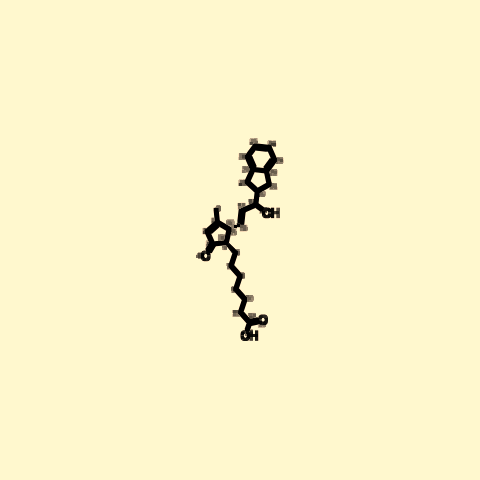 CC1=CC(=O)[C@H](CCCCCCC(=O)O)[C@H]1C=CC(O)C1Cc2ccccc2C1